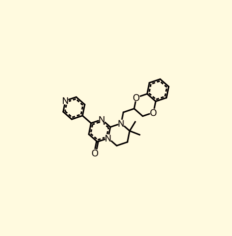 CC1(C)CCn2c(nc(-c3ccncc3)cc2=O)N1CC1COc2ccccc2O1